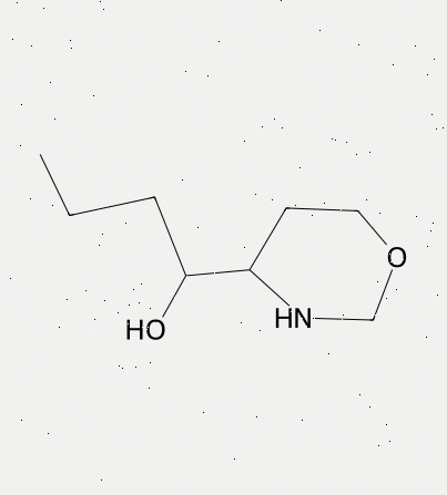 CCCC(O)C1CCOCN1